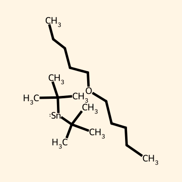 CCCCCOCCCCC.C[C](C)(C)[Sn][C](C)(C)C